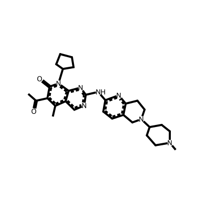 CC(=O)c1c(C)c2cnc(Nc3ccc4c(n3)CCN(C3CCN(C)CC3)C4)nc2n(C2CCCC2)c1=O